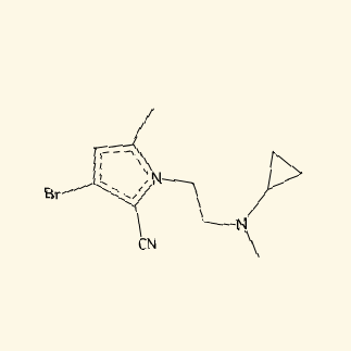 Cc1cc(Br)c(C#N)n1CCN(C)C1CC1